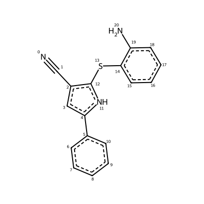 N#Cc1cc(-c2ccccc2)[nH]c1Sc1ccccc1N